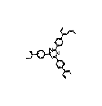 C=CC(=C)c1ccc(-c2nc(-c3ccc(/C(C=C)=C/C)cc3)nc(-c3ccc(/C(C=C)=C/C=C\C)cc3)n2)cc1